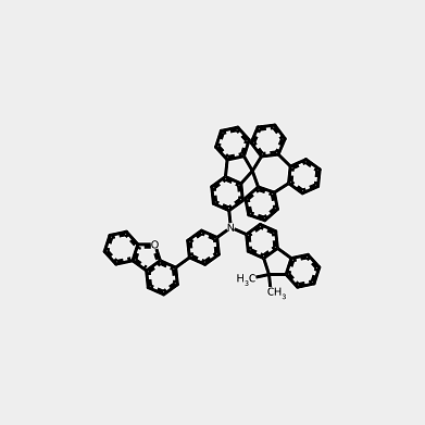 CC1(C)c2ccccc2-c2ccc(N(c3ccc(-c4cccc5c4oc4ccccc45)cc3)c3ccc4c(c3)C3(c5ccccc5-c5ccccc5-c5ccccc53)c3ccccc3-4)cc21